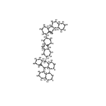 c1ccc2c(-c3c4ccccc4c(-c4ccc5c(c4)sc4cc(-c6cccc7c6sc6c8ccccc8ccc76)ccc45)c4ccccc34)cccc2c1